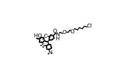 C=c1ccc2c(c1)S(C)(C)c1cc(N(C)C)ccc1C=2c1ccc(C(=O)NCCOCCOCCCCCCCl)cc1C(=O)O